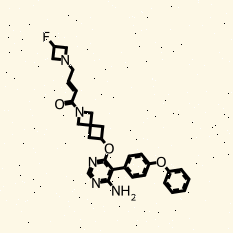 Nc1ncnc(OC2CC3(C2)CN(C(=O)C=CCN2CC(F)C2)C3)c1-c1ccc(Oc2ccccc2)cc1